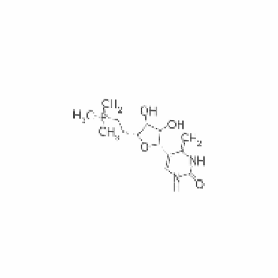 C=C1NC(=O)NC=C1[C@@H]1O[C@H](CCP(=C)(C)C)[C@@H](O)C1O